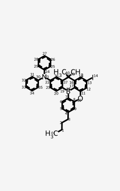 CCCCc1ccc2c(c1)Oc1cc(I)cc3c1B2c1ccc(N(c2ccccc2)c2ccccc2)cc1C3(C)C